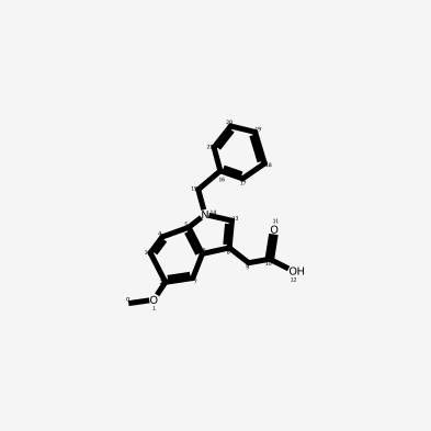 COc1ccc2c(c1)c(CC(=O)O)cn2Cc1ccccc1